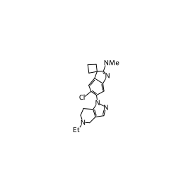 CCN1CCc2c(cnn2-c2cc3c(cc2Cl)C2(CCC2)C(NC)=N3)C1